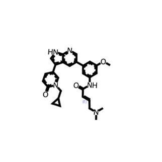 COc1cc(NC(=O)/C=C/CN(C)C)cc(-c2cnc3[nH]cc(-c4ccc(=O)n(CC5CC5)c4)c3c2)c1